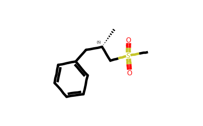 C[C@@H](Cc1ccccc1)CS(C)(=O)=O